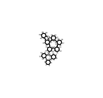 c1ccc2c(c1)-c1ccccc1N(c1ccc3c(c1)c1ccccc1c1ccccc1c1ccccc1c1c3ccc3c4ccccc4oc31)c1ccccc1-2